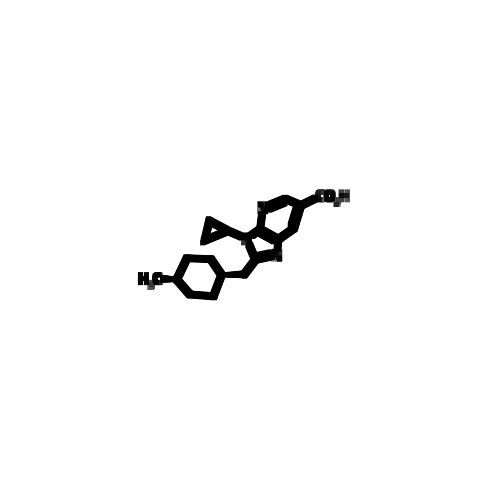 C[C@H]1CC[C@@H](Cc2nc3cc(C(=O)O)cnc3n2C2CC2)CC1